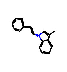 Cc1cn(C=Cc2ccccc2)c2ccccc12